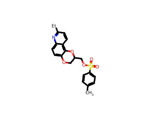 CCc1ccc2c3c(ccc2n1)OCC(COS(=O)(=O)c1ccc(C)cc1)O3